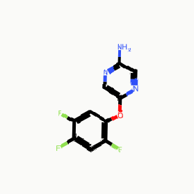 Nc1cnc(Oc2cc(F)c(F)cc2F)cn1